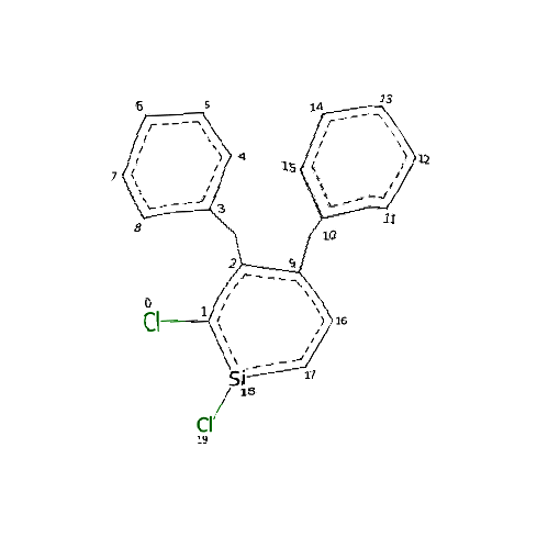 Clc1c(-c2ccccc2)c(-c2ccccc2)cc[si]1Cl